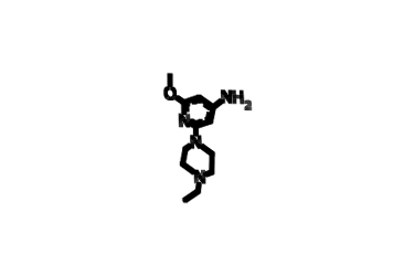 CCN1CCN(c2cc(N)cc(OC)n2)CC1